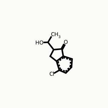 CC(O)C1Cc2c(Cl)cccc2C1=O